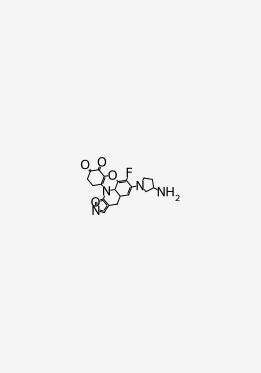 NC1CCN(C2=CC3Cc4cnoc4N4C5=C(OC(=C2F)C34)C(=O)C(=O)CC5)C1